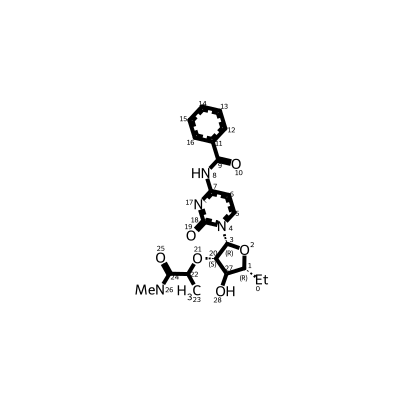 CC[C@H]1O[C@@H](n2ccc(NC(=O)c3ccccc3)nc2=O)[C@@H](OC(C)C(=O)NC)C1O